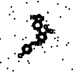 O=[N+]([O-])c1cnc(NCc2ccc(Cl)cc2)nc1N1CCc2[nH]cnc2C1